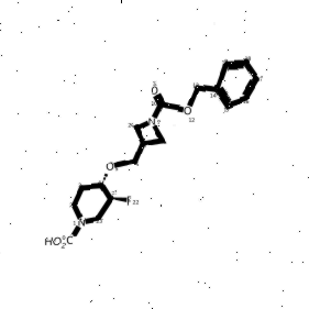 O=C(O)N1CC[C@H](OCC2CN(C(=O)OCc3ccccc3)C2)[C@@H](F)C1